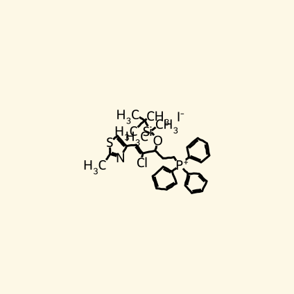 Cc1nc(C=C(Cl)C(CC[P+](c2ccccc2)(c2ccccc2)c2ccccc2)O[Si](C)(C)C(C)(C)C)cs1.[I-]